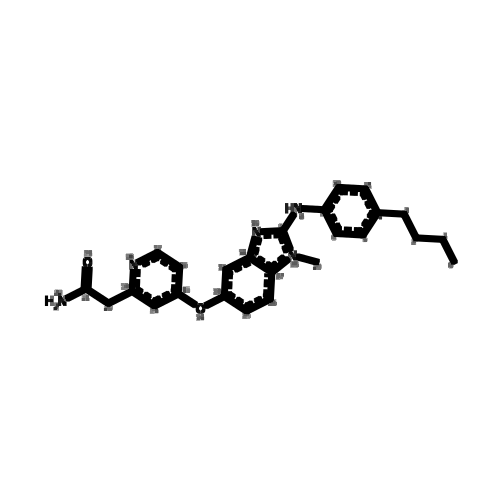 CCCCc1ccc(Nc2nc3cc(Oc4ccnc(CC(N)=O)c4)ccc3n2C)cc1